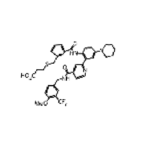 COc1ccc(CNC(=O)c2ccnc(-c3cc(N4CCCCC4)ccc3NC(=O)c3cccc(CSCCC(=O)O)c3)c2)cc1C(F)(F)F